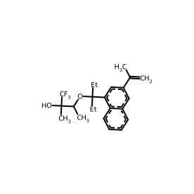 C=C(C)c1cc(C(CC)(CC)OC(C)C(C)(O)C(F)(F)F)c2ccccc2c1